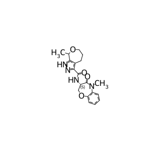 CC1OCCCc2c(C(=O)N[C@H]3COc4ccccc4N(C)C3=O)n[nH]c21